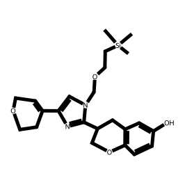 C[Si](C)(C)CCOCn1cc(C2=CCOCC2)nc1C1COc2ccc(O)cc2C1